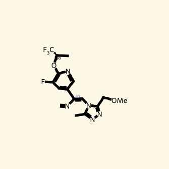 C=N/C(=C\n1c(C)nnc1COC)c1cnc(O[C@H](C)C(F)(F)F)c(F)c1